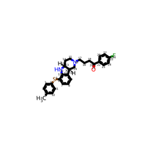 Cc1ccc(Sc2cccc3c2N[C@@H]2CCN(CCCC(=O)c4ccc(F)cc4)C[C@@H]32)cc1